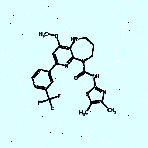 COc1cc(-c2cccc(C(F)(F)F)c2)nc2c1NCCCN2C(=O)Nc1nc(C)c(C)s1